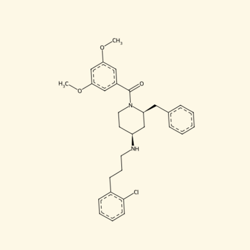 COc1cc(OC)cc(C(=O)N2CC[C@H](NCCCc3ccccc3Cl)C[C@@H]2Cc2ccccc2)c1